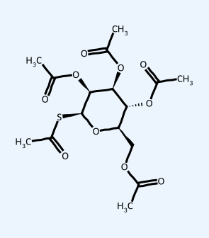 CC(=O)OC[C@H]1O[C@@H](SC(C)=O)[C@@H](OC(C)=O)[C@@H](OC(C)=O)[C@@H]1OC(C)=O